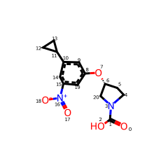 O=C(O)N1CC[C@@H](Oc2cc(C3CC3)cc([N+](=O)[O-])c2)C1